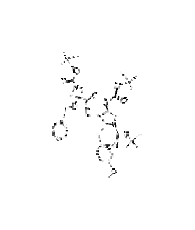 COc1ccc(C[C@@H]2[C@H](OC(=O)C3(OCc4ccccc4)CN(C(=O)OC(C)(C)C)C3)[C@@H](OC(=O)OC(C)(C)C)CN2C(=O)OC(C)(C)C)cc1